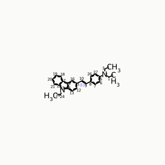 CCN(CC)c1ccc(/C=C/c2ccc3c(c2)c2ccccc2n3CC)cc1